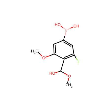 COc1cc(B(O)O)cc(F)c1C(O)OC